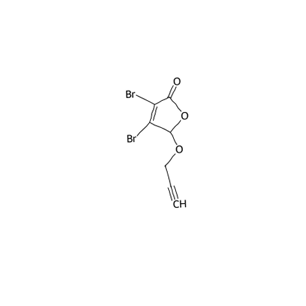 C#CCOC1OC(=O)C(Br)=C1Br